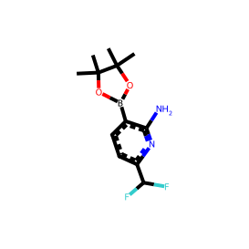 CC1(C)OB(c2ccc(C(F)F)nc2N)OC1(C)C